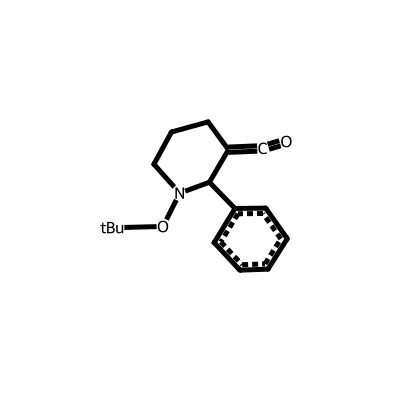 CC(C)(C)ON1CCCC(=C=O)C1c1ccccc1